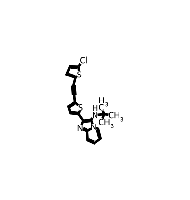 CC(C)(C)Nc1c(-c2ccc(C#Cc3ccc(Cl)s3)s2)nc2ccccn12